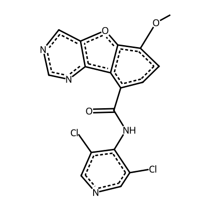 COc1ccc(C(=O)Nc2c(Cl)cncc2Cl)c2c1oc1cncnc12